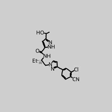 CC[C@@H](Cn1ccc(-c2ccc(C#N)c(Cl)c2)n1)NC(=O)c1cc(C(C)O)n[nH]1